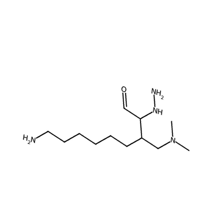 CN(C)CC(CCCCCCN)C(C=O)NN